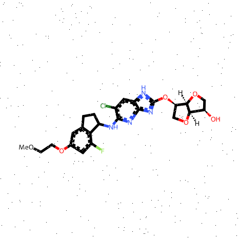 COCCOc1cc(F)c2c(c1)CCC2Nc1nc2nc(O[C@@H]3CO[C@H]4[C@@H]3OC[C@H]4O)[nH]c2cc1Cl